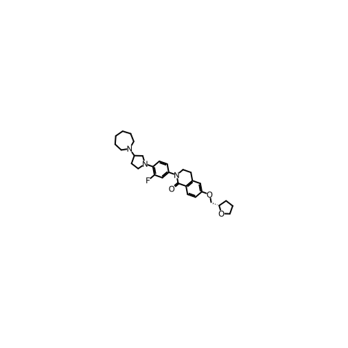 O=C1c2ccc(OC[C@@H]3CCCO3)cc2CCN1c1ccc(N2CCC(N3CCCCCC3)C2)c(F)c1